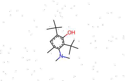 Cc1cc(C(C)(C)C)c(O)c(C(C)(C)C)c1N(C)C